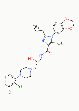 CCCc1nc(C(=O)NCC(O)CN2CCN(c3cccc(Cl)c3Cl)CC2)c(C)n1-c1ccc2c(c1)OCCO2